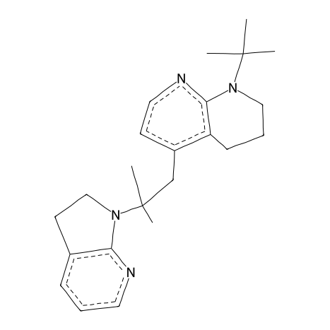 CC(C)(C)N1CCCc2c(CC(C)(C)N3CCc4cccnc43)ccnc21